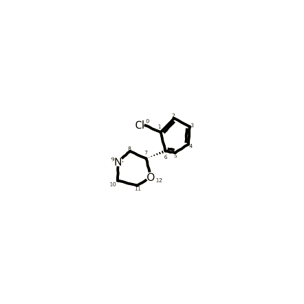 Clc1ccccc1[C@H]1C[N]CCO1